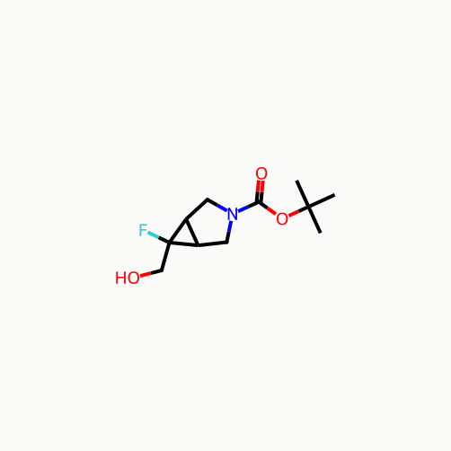 CC(C)(C)OC(=O)N1CC2C(C1)C2(F)CO